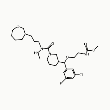 CNN(CCCC1CCCCOC1)C(=O)N1CCCC(C(OCCNC(=O)OC)c2cc(F)cc(Cl)c2)C1